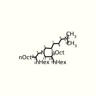 CCCCCCCCC(CCCCCC)CN(CCCCCN(C)C)CC(CCCCCC)CCCCCCCC